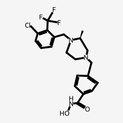 C[C@H]1CN(Cc2ccc(C(=O)NO)cc2)CCN1Cc1cccc(Cl)c1C(F)(F)F